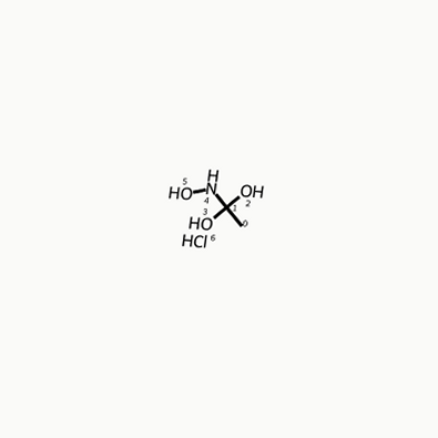 CC(O)(O)NO.Cl